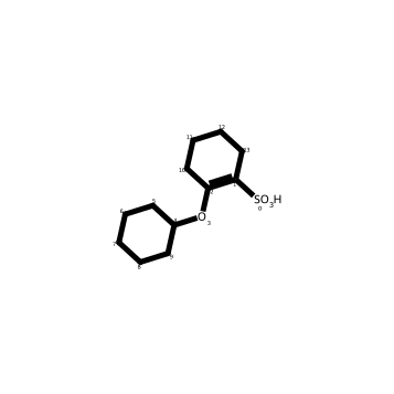 O=S(=O)(O)C1=C(OC2CCCCC2)CCCC1